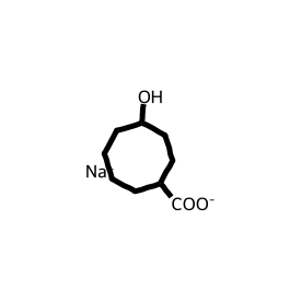 O=C([O-])C1CCCCC(O)CC1.[Na+]